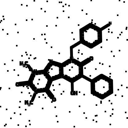 Cn1c(=O)c2c(nc3n(Cc4ccc(F)cc4)c(=O)c(-c4ccccc4)c(O)n23)n(C)c1=O